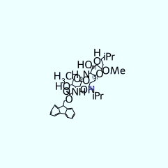 COC1(CC(O)C(C)C)C[C@H](O)C(N)[C@H](CC(/C=C/C(C)C)OC2OC(C)C(O)C(NC(=O)OCC3c4ccccc4-c4ccccc43)C2O)O1